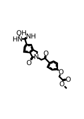 COC(=O)COc1ccc(C(=O)CN2Cc3cc(C(=N)NO)ccc3C2=O)cc1